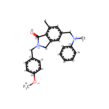 CCN(Cc1cc(C)c2c(c1)CN(Cc1ccc(OC(F)(F)F)cc1)C2=O)c1ccccc1